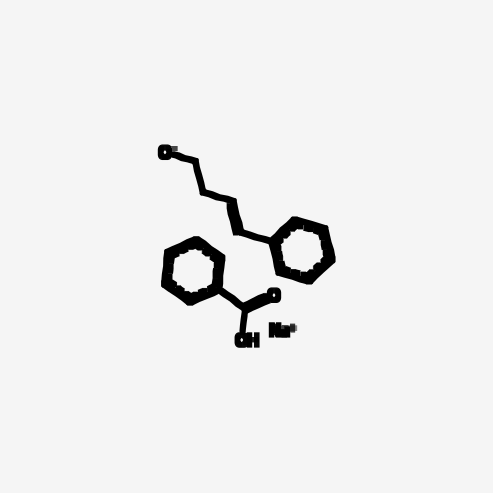 O=C(O)c1ccccc1.[Na+].[O-]CCC=Cc1ccccc1